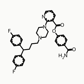 NC(=O)c1ccc(OC(=O)c2cccnc2N2CCN(CCCC(c3ccc(F)cc3)c3ccc(F)cc3)CC2)cc1